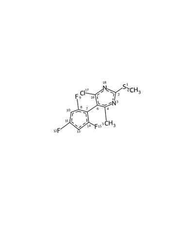 CSc1nc(C)c(-c2c(F)cc(F)cc2F)c(Cl)n1